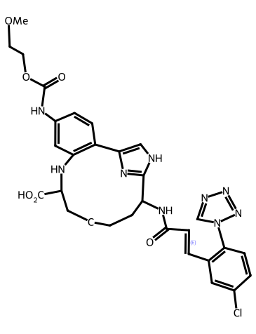 COCCOC(=O)Nc1ccc2c(c1)NC(C(=O)O)CCCCC(NC(=O)/C=C/c1cc(Cl)ccc1-n1cnnn1)c1nc-2c[nH]1